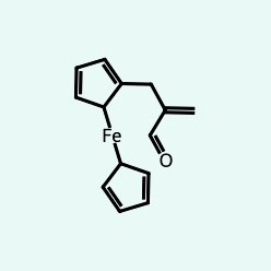 C=C(C=O)CC1=CC=C[CH]1[Fe][CH]1C=CC=C1